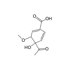 COC1C=C(C(=O)O)C=CC1(O)C(C)=O